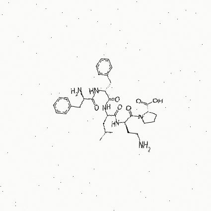 CC(C)C[C@@H](NC(=O)[C@@H](Cc1ccccc1)NC(=O)[C@H](N)Cc1ccccc1)C(=O)N[C@H](CCN)C(=O)N1CCC[C@H]1C(=O)O